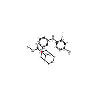 CC(C)(C)OC(=O)N1CC2COCC(C1)C2Oc1cc(Nc2ccc(C#N)cc2F)ccn1